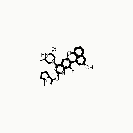 CC[C@@H]1CN(c2nc(OC(C)[C@]3(C)CCCN3)nc3c(F)c(-c4cc(O)cc5cccc(Cl)c45)c(F)cc23)C[C@@H](C)N1